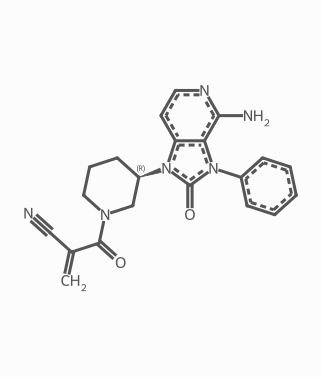 C=C(C#N)C(=O)N1CCC[C@@H](n2c(=O)n(-c3ccccc3)c3c(N)nccc32)C1